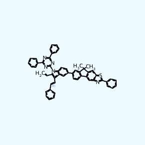 C=Cc1c(/C=C/c2ccccc2)c2cc(-c3ccc4c(c3)C(C)(C)c3cc5sc(-c6ccccc6)nc5cc3-4)ccc2n1-c1nc(-c2ccccc2)nc(-c2ccccc2)n1